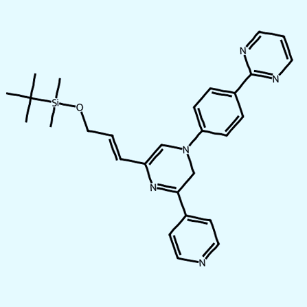 CC(C)(C)[Si](C)(C)OC/C=C/C1=CN(c2ccc(-c3ncccn3)cc2)CC(c2ccncc2)=N1